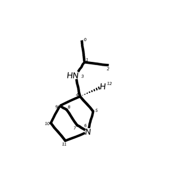 CC(C)N[C@H]1CN2CCC1CC2